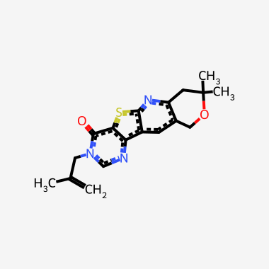 C=C(C)Cn1cnc2c(sc3nc4c(cc32)COC(C)(C)C4)c1=O